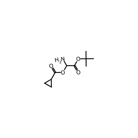 CC(C)(C)OC(=O)C(N)OC(=O)C1CC1